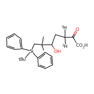 [2H]C([2H])(CC(O)C(C)(C)C[Si](c1ccccc1)(c1ccccc1)C(C)(C)C)C(=O)C(=O)O